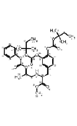 CCC(C)(C)OC(=O)Oc1ccc(C[C@H](NCC(C)OC(=O)Oc2ccccc2)C(=O)OC)cc1OC(=O)OC(C)(C)CC